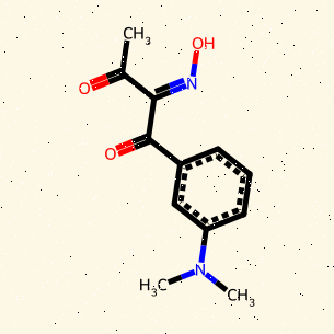 CC(=O)C(=NO)C(=O)c1cccc(N(C)C)c1